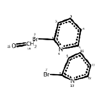 Brc1ccccn1.Brc1ccccn1.C=O